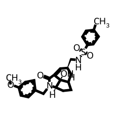 COc1ccc(CN2C(=O)C3=C[C@@H](CNS(=O)(=O)c4ccc(C)cc4)C[C@H]4CC[C@@H]2[C@@]34O)cc1